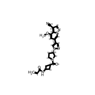 C=CC(=O)NC1CC(C(=O)N2CC[C@@H](n3cc(-c4cc(OC)c5c(C#N)cnn5c4)cn3)C2)C1